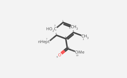 C=CC(=O)O.CC=C(CCCCCCCC)C(=O)OC